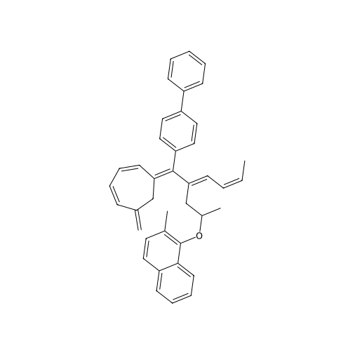 C=C1C=CC=C/C(=C(/C(=C/C=C\C)CC(C)Oc2c(C)ccc3ccccc23)c2ccc(-c3ccccc3)cc2)C1